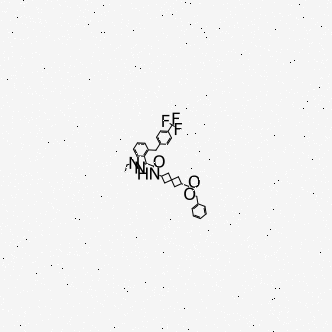 CCn1nc(C(=O)NC2CC3(C2)CC(C(=O)OCc2ccccc2)C3)c2c(Cc3ccc(C(F)(F)F)cc3)cccc21